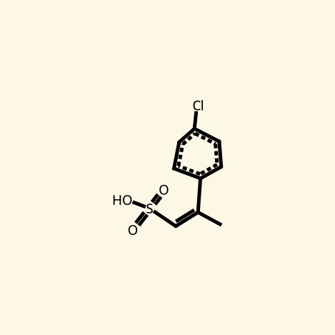 C/C(=C/S(=O)(=O)O)c1ccc(Cl)cc1